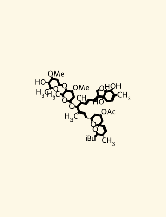 CCC(C)C1OC2(C=C[C@@H]1C)CC(OC(C)=O)C[C@@H](C/C=C(\C)C(OC1CC(OC)C(OC3CC(OC)[C@@H](O)C(C)O3)C(C)O1)[C@@H](C)/C=C/C=C1\CO[C@@H]3C(O)C(C)=CC[C@]13O)O2